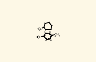 CC1CCCCC1.Cc1ccc(C)cc1